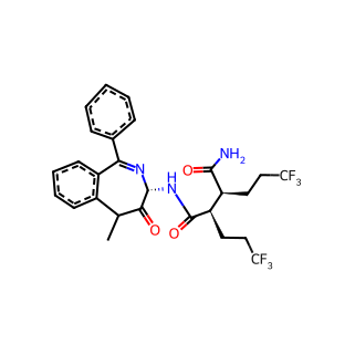 CC1C(=O)[C@@H](NC(=O)[C@H](CCC(F)(F)F)[C@H](CCC(F)(F)F)C(N)=O)N=C(c2ccccc2)c2ccccc21